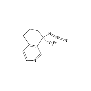 CCOC(=O)C1(N=[N+]=[N-])CCCc2ccncc21